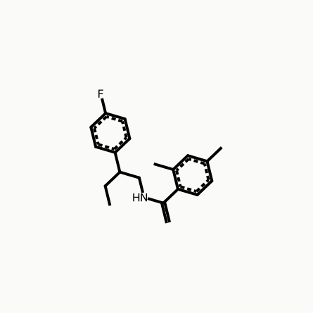 C=C(NCC(CC)c1ccc(F)cc1)c1ccc(C)cc1C